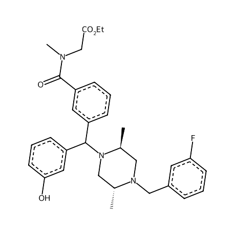 CCOC(=O)CN(C)C(=O)c1cccc(C(c2cccc(O)c2)N2C[C@@H](C)N(Cc3cccc(F)c3)C[C@@H]2C)c1